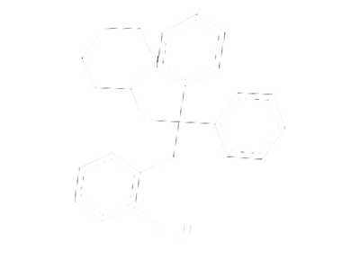 O=C(O)c1ccccc1CC(OC1CCCCO1)(c1ccccc1)c1ccccc1